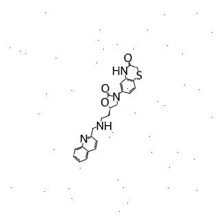 O=C1CSc2ccc(N3C[C@@H](CCNCc4ccc5ccccc5n4)OC3=O)cc2N1